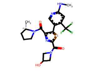 CNc1cc(C(F)(F)F)c(-c2sc(C(=O)N3CC(O)C3)nc2C(=O)N2CCC[C@@H]2C)cn1